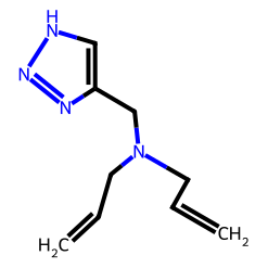 C=CCN(CC=C)Cc1c[nH]nn1